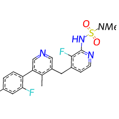 CNS(=O)(=O)Nc1nccc(Cc2cncc(-c3ccc(Cl)cc3F)c2C)c1F